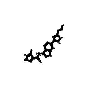 COCc1nc(-c2ccc3c(c2)CCC3NC(=O)c2c[nH]nc2C)no1